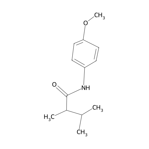 COc1ccc(NC(=O)C(C)C(C)C)cc1